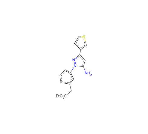 CCOC(=O)Cc1cccc(-n2nc(-c3ccsc3)cc2N)c1